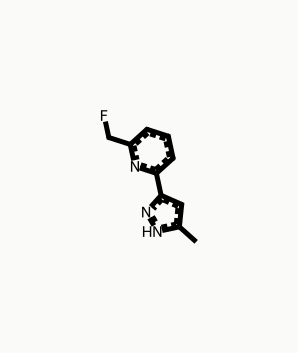 Cc1cc(-c2cccc(CF)n2)n[nH]1